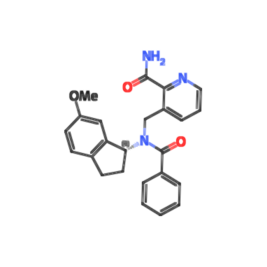 COc1ccc2c(c1)[C@H](N(Cc1cccnc1C(N)=O)C(=O)c1ccccc1)CC2